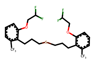 FC(F)COc1cccc(C(F)(F)F)c1CCCSCCCc1c(OCC(F)F)cccc1C(F)(F)F